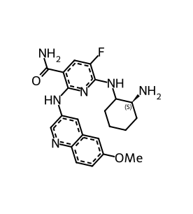 COc1ccc2ncc(Nc3nc(NC4CCCC[C@@H]4N)c(F)cc3C(N)=O)cc2c1